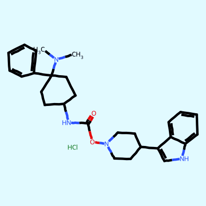 CN(C)C1(c2ccccc2)CCC(NC(=O)ON2CCC(c3c[nH]c4ccccc34)CC2)CC1.Cl